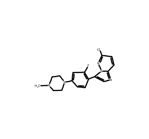 CN1CCN(c2ccc(-c3cnc4ccc(Cl)nn34)c(F)c2)CC1